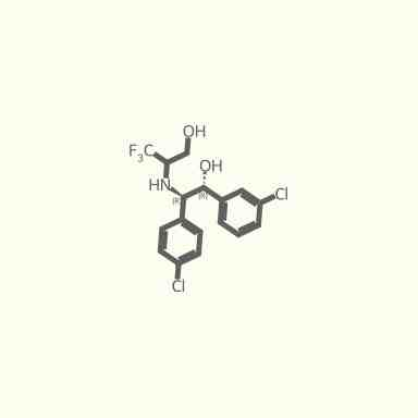 OCC(N[C@H](c1ccc(Cl)cc1)[C@H](O)c1cccc(Cl)c1)C(F)(F)F